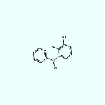 CCN(c1ccccc1)c1cccc(O)c1C